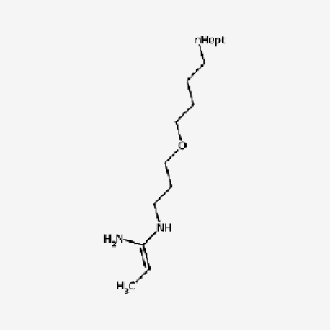 CC=C(N)NCCCOCCCCCCCCCCC